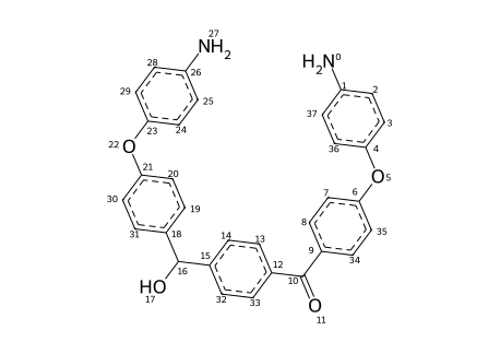 Nc1ccc(Oc2ccc(C(=O)c3ccc(C(O)c4ccc(Oc5ccc(N)cc5)cc4)cc3)cc2)cc1